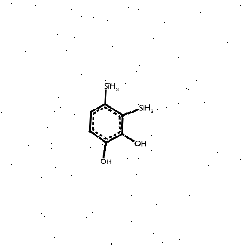 Oc1ccc([SiH3])c([SiH3])c1O